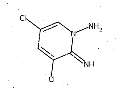 N=c1c(Cl)cc(Cl)cn1N